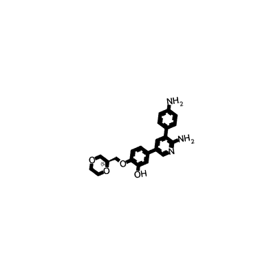 Nc1ccc(-c2cc(-c3ccc(OC[C@@H]4COCCO4)c(O)c3)cnc2N)cc1